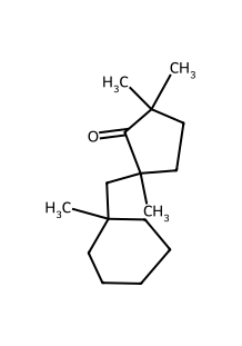 CC1(CC2(C)CCC(C)(C)C2=O)CCCCC1